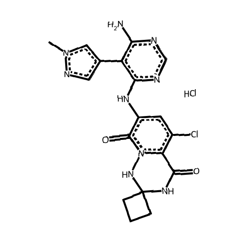 Cl.Cn1cc(-c2c(N)ncnc2Nc2cc(Cl)c3n(c2=O)NC2(CCC2)NC3=O)cn1